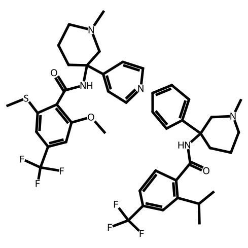 CC(C)c1cc(C(F)(F)F)ccc1C(=O)NC1(c2ccccc2)CCCN(C)C1.COc1cc(C(F)(F)F)cc(SC)c1C(=O)NC1(c2ccncc2)CCCN(C)C1